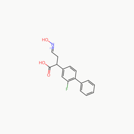 O=C(O)C(C/C=N/O)c1ccc(-c2ccccc2)c(F)c1